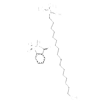 CCCCCCCCCCCCCCCCCC[N+](C)(C)C.O=C1NS(=O)(=O)c2ccccc21